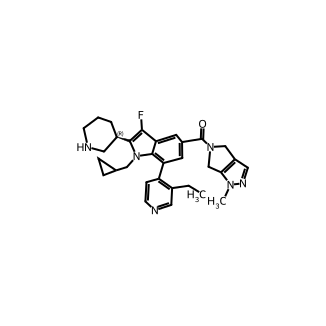 CCc1cnccc1-c1cc(C(=O)N2Cc3cnn(C)c3C2)cc2c(F)c([C@@H]3CCCNC3)n(CC3CC3)c12